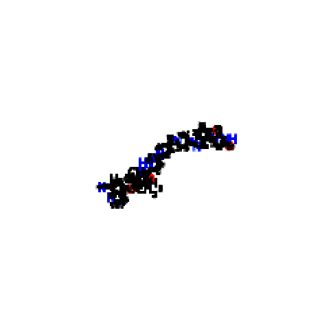 CC1(C)C(NC(=O)c2ccc(N3CCC(CN4CCC(n5ncc6c(N7CCC(=O)NC7=O)cccc65)CC4)CC3)nn2)C(C)(C)C1Oc1ccc(C#N)c2ncccc12